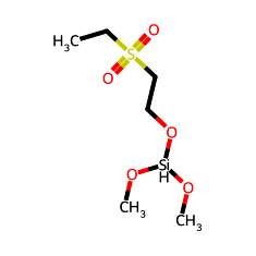 CCS(=O)(=O)CCO[SiH](OC)OC